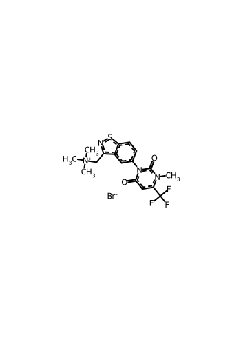 Cn1c(C(F)(F)F)cc(=O)n(-c2ccc3snc(C[N+](C)(C)C)c3c2)c1=O.[Br-]